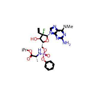 C=C[C@@]1(F)[C@H](O)[C@@H](CO[P@](=O)(N[C@H](C)C(=O)OC(C)C)Oc2ccccc2)O[C@H]1n1cnc2c(NC)nc(N)nc21